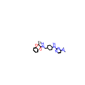 CCC(Oc1ccccc1)C(=O)NCC1CCC(Nc2nccc(N(C)C)n2)CC1